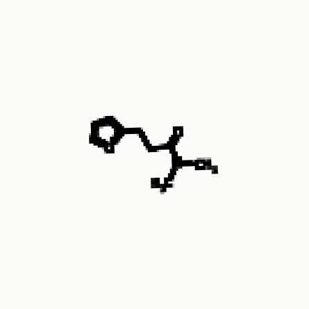 CN(C)C(=O)CCc1ccco1